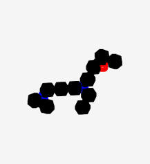 c1ccc(-c2cccc(N(c3ccc(-c4ccc(-c5cccc(-n6c7ccccc7c7ccccc76)c5)cc4)cc3)c3ccc(-c4ccc5c(c4)oc4c(-c6ccccc6)cccc45)cc3)c2)cc1